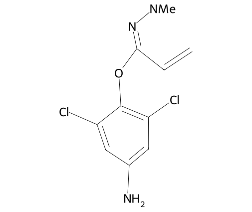 C=C/C(=N\NC)Oc1c(Cl)cc(N)cc1Cl